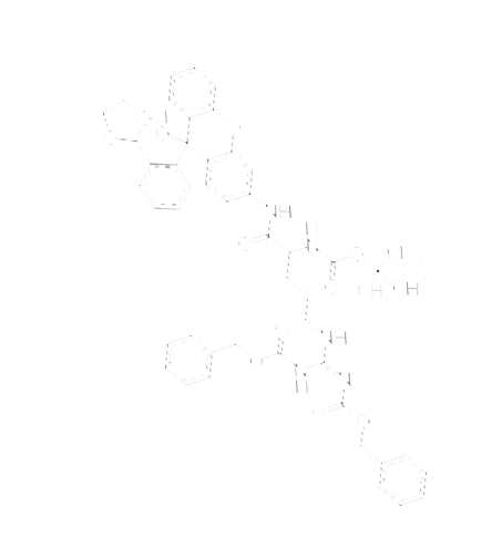 CC(C)(C)OC(=O)NC(CCCN/C(=N/C(=O)OCc1ccccc1)NC(=O)OCc1ccccc1)C(=O)Nc1ccc2c(c1)Oc1ccccc1C2(O)c1ccccc1C1OCCO1